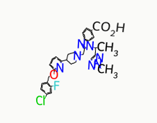 CC(c1cnn(C)n1)n1c(CN2CCC(c3cccc(OCc4ccc(Cl)cc4F)n3)CC2)nc2ccc(C(=O)O)cc21